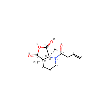 C=CCC(=O)N1CCC[C@H]2C(=O)OC(=O)[C@H]21